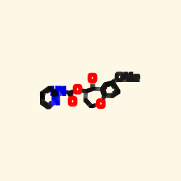 COc1ccc2c(c1)C(=O)C(OC(=O)Nc1ccccn1)CCO2